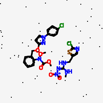 CN/C(=N\[N+](=O)[O-])NCc1cnc(Cl)s1.COC(=O)N(OC)c1ccccc1COc1ccn(-c2ccc(Cl)cc2)n1